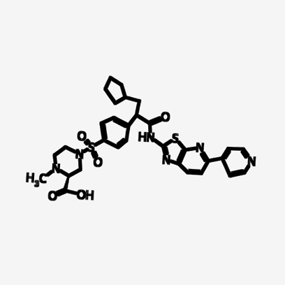 CN1CCN(S(=O)(=O)c2ccc(C(CC3CCCC3)C(=O)Nc3nc4ccc(-c5ccncc5)nc4s3)cc2)C[C@H]1C(=O)O